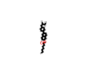 CCCCCCC(=O)Oc1ccc2cc(C3=CCC(CC(C)CC)CC3)ccc2c1